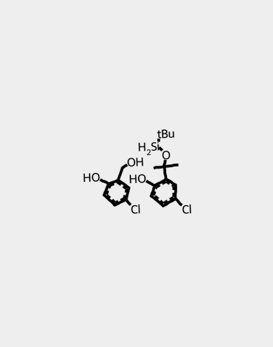 CC(C)(C)[SiH2]OC(C)(C)c1cc(Cl)ccc1O.OCc1cc(Cl)ccc1O